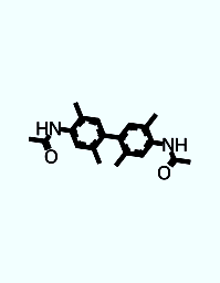 CC(=O)Nc1cc(C)c(-c2cc(C)c(NC(C)=O)cc2C)cc1C